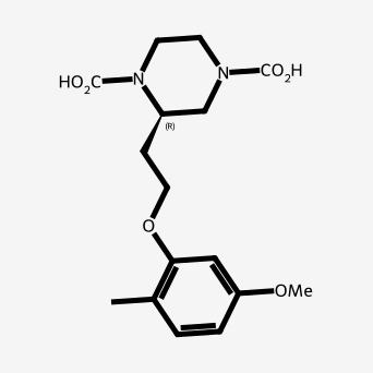 COc1ccc(C)c(OCC[C@@H]2CN(C(=O)O)CCN2C(=O)O)c1